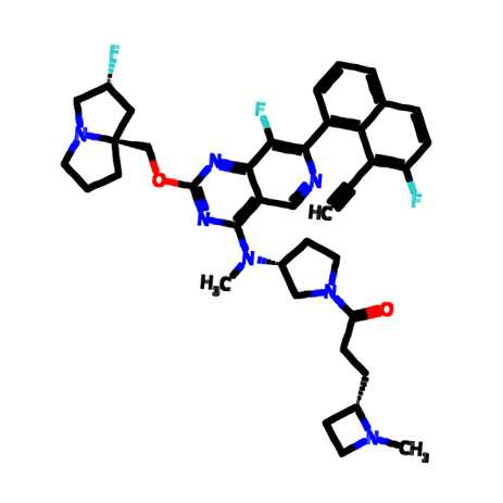 C#Cc1c(F)ccc2cccc(-c3ncc4c(N(C)[C@@H]5CCN(C(=O)CC[C@H]6CCN6C)C5)nc(OC[C@@]56CCCN5C[C@H](F)C6)nc4c3F)c12